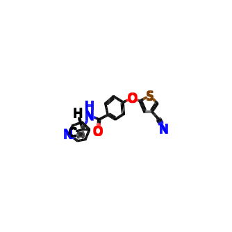 N#Cc1csc(Oc2ccc(C(=O)N[C@H]3CN4CCC3CC4)cc2)c1